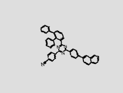 N#Cc1ccc(-c2nc(-c3ccc(-c4ccc5ccccc5c4)cc3)nc(-c3cccc(-c4ccccc4)c3-c3ccccc3)n2)cc1